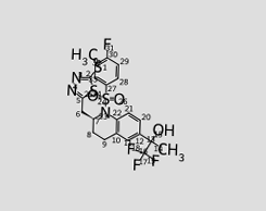 CSc1nnc(C[C@@H]2CCc3cc(C(C)(O)C(F)(F)F)ccc3N2S(=O)(=O)c2ccc(F)cc2)s1